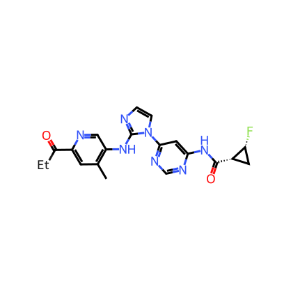 CCC(=O)c1cc(C)c(Nc2nccn2-c2cc(NC(=O)[C@H]3C[C@H]3F)ncn2)cn1